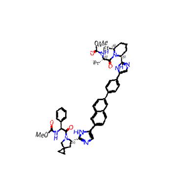 CC[C@H]1CCC[C@@H](c2ncc(-c3ccc(-c4ccc5cc(-c6cnc([C@@H]7CC8(CC8)CN7C(=O)C(NC(=O)OC)c7ccccc7)[nH]6)ccc5c4)cc3)[nH]2)N1C(=O)[C@@H](NC(=O)OC)C(C)C